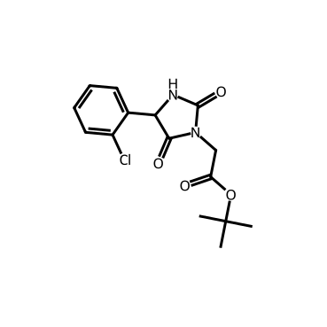 CC(C)(C)OC(=O)CN1C(=O)NC(c2ccccc2Cl)C1=O